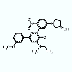 CCN(C)c1cc(-c2cccc(OC)c2)nn(-c2cc(N3CC[C@@H](O)C3)ccc2[N+](=O)[O-])c1=O